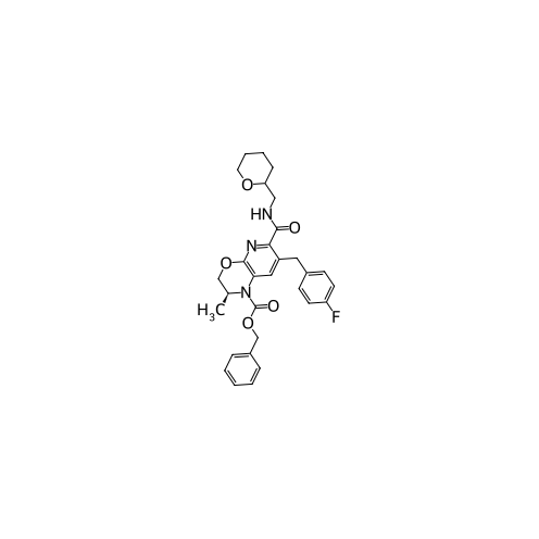 C[C@H]1COc2nc(C(=O)NCC3CCCCO3)c(Cc3ccc(F)cc3)cc2N1C(=O)OCc1ccccc1